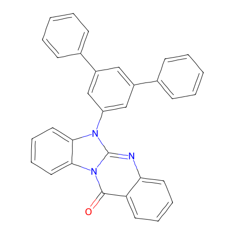 O=c1c2ccccc2nc2n(-c3cc(-c4ccccc4)cc(-c4ccccc4)c3)c3ccccc3n12